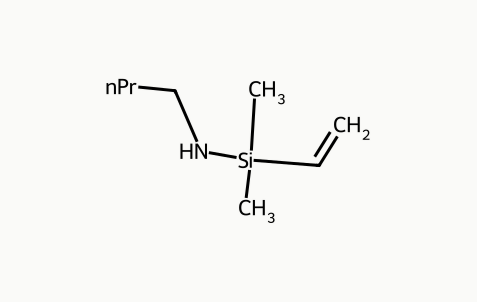 C=C[Si](C)(C)NCCCC